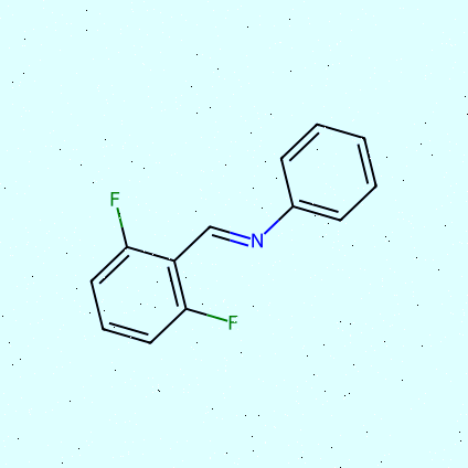 Fc1cccc(F)c1/C=N/c1ccccc1